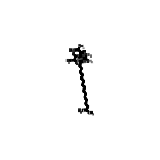 C=C(C)[C](=O)[Zr](=[O])([O]C(=O)CCCCCCCCCCCCCCC(C)C)([O]C(C)C)[C](=O)C(=C)C